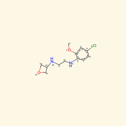 COc1cc(Cl)ccc1NCCNC1COC1